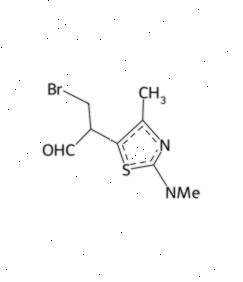 CNc1nc(C)c(C(C=O)CBr)s1